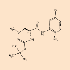 COC[C@H](NC(=O)OC(C)(C)C)C(=O)Nc1cc(Br)ccc1N